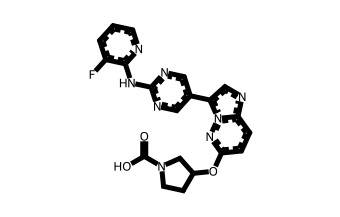 O=C(O)N1CCC(Oc2ccc3ncc(-c4cnc(Nc5ncccc5F)nc4)n3n2)C1